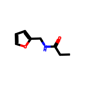 CCC(=O)NCc1ccco1